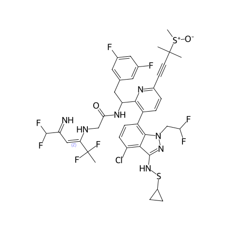 C[S+]([O-])C(C)(C)C#Cc1ccc(-c2ccc(Cl)c3c(NSC4CC4)nn(CC(F)F)c23)c(C(Cc2cc(F)cc(F)c2)NC(=O)CN/C(=C\C(=N)C(F)F)C(C)(F)F)n1